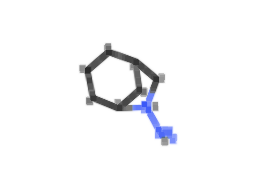 NN1CC2CCCC1C2